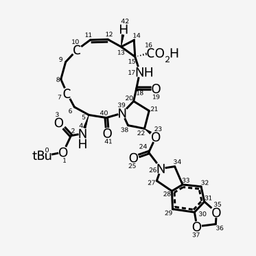 CC(C)(C)OC(=O)N[C@H]1CCCCC/C=C\[C@@H]2C[C@@]2(C(=O)O)NC(=O)C2C[C@@H](OC(=O)N3Cc4cc5c(cc4C3)OCO5)CN2C1=O